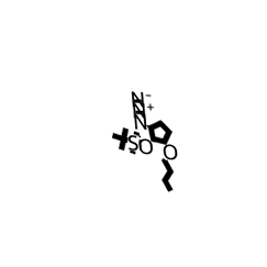 CCCCO[C@H]1CC[C@@H](N=[N+]=[N-])[C@@H]1O[Si](C)(C)C(C)(C)C